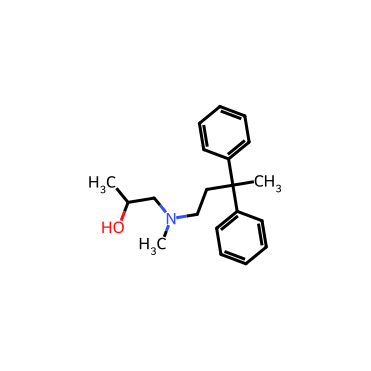 CC(O)CN(C)CCC(C)(c1ccccc1)c1ccccc1